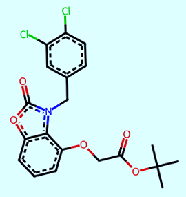 CC(C)(C)OC(=O)COc1cccc2oc(=O)n(Cc3ccc(Cl)c(Cl)c3)c12